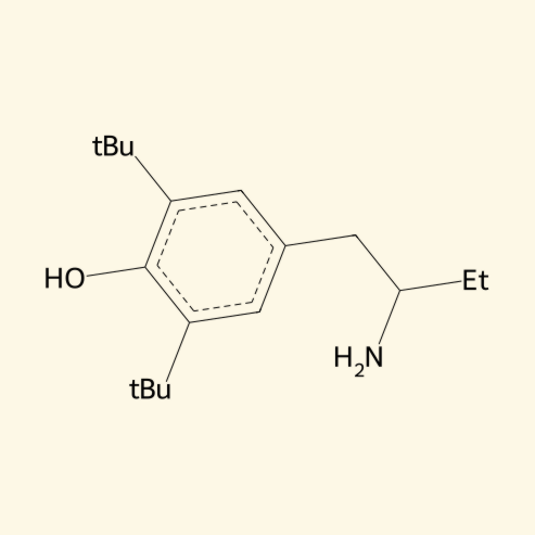 CCC(N)Cc1cc(C(C)(C)C)c(O)c(C(C)(C)C)c1